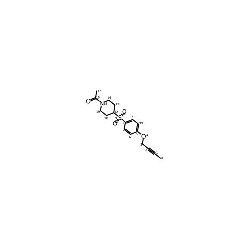 CC#CCOc1ccc(S(=O)(=O)C2CCN(C(C)=O)CC2)cc1